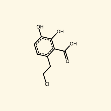 O=C(O)c1c(CCCl)ccc(O)c1O